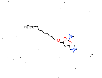 CCCCCCCCCCCCCCCCCCOCC(C[CH]C[N+](C)(C)C)OC(=O)N(C)C